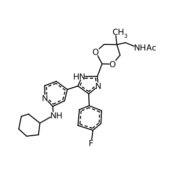 CC(=O)NCC1(C)COC(c2nc(-c3ccc(F)cc3)c(-c3ccnc(NC4CCCCC4)c3)[nH]2)OC1